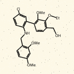 CCOc1c(CO)ccc(-c2cc(Cl)ccc2NCc2ccc(OC)cc2OC)c1OC